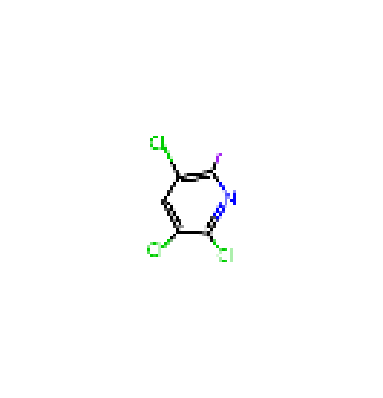 Clc1cc(Cl)c(I)nc1Cl